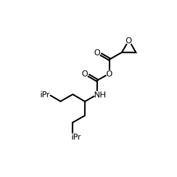 CC(C)CCC(CCC(C)C)NC(=O)OC(=O)C1CO1